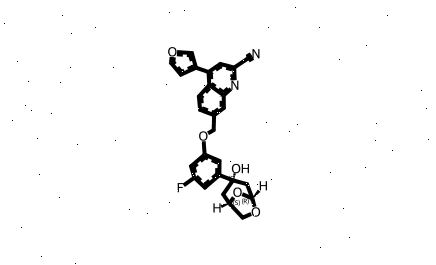 N#Cc1cc(-c2ccoc2)c2ccc(COc3cc(F)cc([C@]4(O)C[C@H]5CO[C@@H](C4)O5)c3)cc2n1